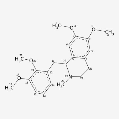 COc1cc2c(cc1OC)C(Cc1cccc(OC)c1OC)N(C)CC2